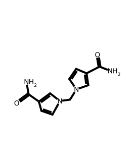 NC(=O)c1ccn(Cn2ccc(C(N)=O)c2)c1